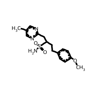 COc1ccc(CCC(Cc2ncc(C)cn2)S(N)(=O)=O)cc1